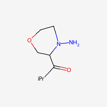 CC(C)C(=O)C1COCCN1N